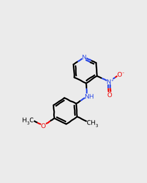 COc1ccc(Nc2ccncc2[N+](=O)[O-])c(C)c1